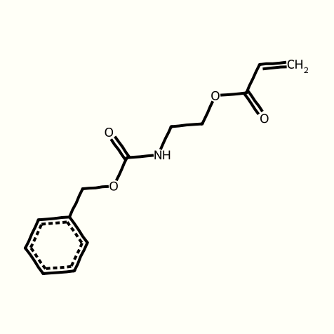 C=CC(=O)OCCNC(=O)OCc1ccccc1